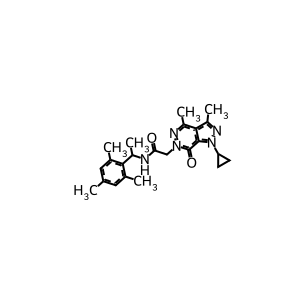 Cc1cc(C)c(C(C)NC(=O)Cn2nc(C)c3c(C)nn(C4CC4)c3c2=O)c(C)c1